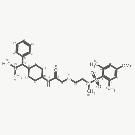 COc1cc(C)c(S(=O)(=O)N(C)CCOCC(=O)NC2CCC(C(c3ccccc3)N(C)C)CC2)c(C)c1